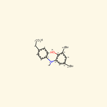 CN(c1ccc(CC(=O)O)cc1)c1cc(C(C)(C)C)cc(C(C)(C)C)c1O